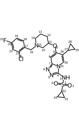 O=S(=O)(Nc1nnc2cc(OC3CCCN(Cc4ccc(F)cc4Cl)C3)c(C3CC3)cn12)C1CC1